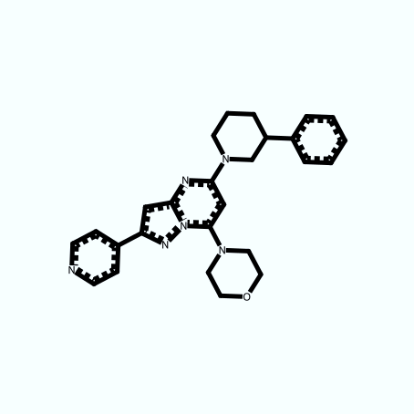 c1ccc(C2CCCN(c3cc(N4CCOCC4)n4nc(-c5ccncc5)cc4n3)C2)cc1